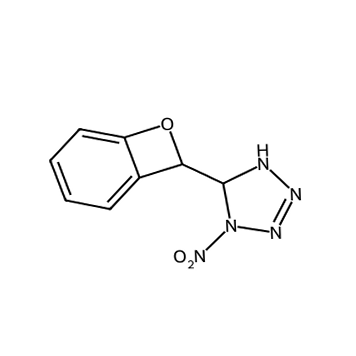 O=[N+]([O-])N1N=NNC1C1Oc2ccccc21